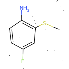 CSc1cc(F)ccc1N